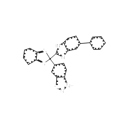 c1ccc(-c2ccc3[nH]c(C4(c5ccc6[nH]nnc6c5)N=c5ccccc5=N4)nc3c2)cc1